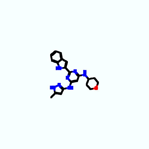 Cc1cc(Nc2cc(NC3CCOCC3)nc(-c3cc4ccccc4[nH]3)n2)n[nH]1